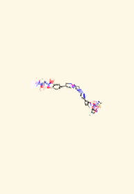 O=C1CCC(N2C(=O)c3ccc(C4CCN(CC5CCN(c6ccc(-c7ccc8c(c7)C(=O)N(C(C(=O)Nc7nccs7)c7cc(F)ccc7O)C8)nn6)CC5)CC4)cc3C2=O)C(=O)N1